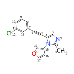 Cc1ncc(C#Cc2cccc(Cl)c2)n1-c1ccoc1